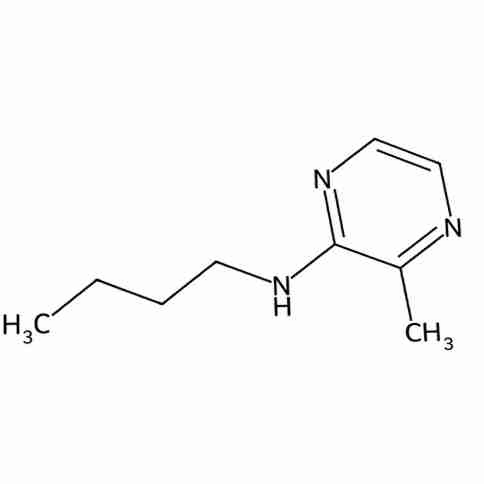 CCCCNc1nccnc1C